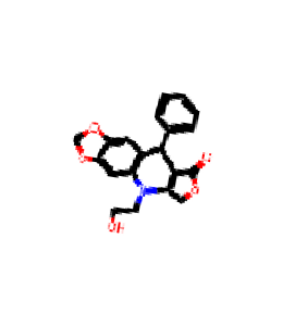 O=C1OCC2=C1C(c1ccccc1)c1cc3c(cc1N2CCO)OCO3